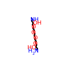 CNCC(O)COCCOCCOCCOCC(O)CN